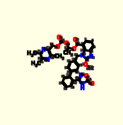 CCOc1nc2cccc(C(=O)OC(C)OC(=O)OCc3nc(C)c(C)nc3C)c2n1Cc1ccc(-c2ccccc2-c2noc(=O)[nH]2)cc1